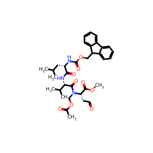 COC(=O)[C@H](CC=O)N(COC(C)=O)C(=O)[C@@H](NC(=O)[C@H](CC(C)C)NC(=O)OCC1c2ccccc2-c2ccccc21)C(C)C